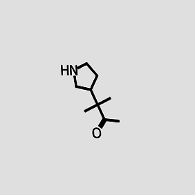 CC(=O)C(C)(C)C1CCNC1